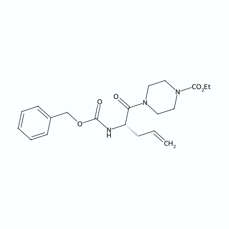 C=CC[C@H](NC(=O)OCc1ccccc1)C(=O)N1CCN(C(=O)OCC)CC1